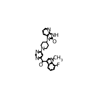 Cn1cc(C(=O)c2cc(N3CCC(n4c(=O)[nH]c5ncccc54)CC3)ncn2)c2cccc(F)c21